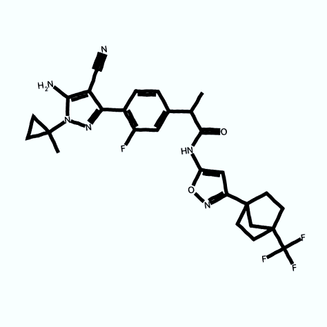 CC(C(=O)Nc1cc(C23CCC(C(F)(F)F)(CC2)C3)no1)c1ccc(-c2nn(C3(C)CC3)c(N)c2C#N)c(F)c1